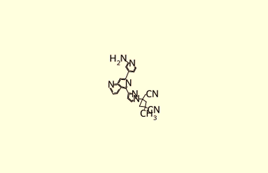 CC1(C#N)CC(CC#N)(n2ccc(-c3nc(-c4ccnc(N)c4)cc4ncccc34)n2)C1